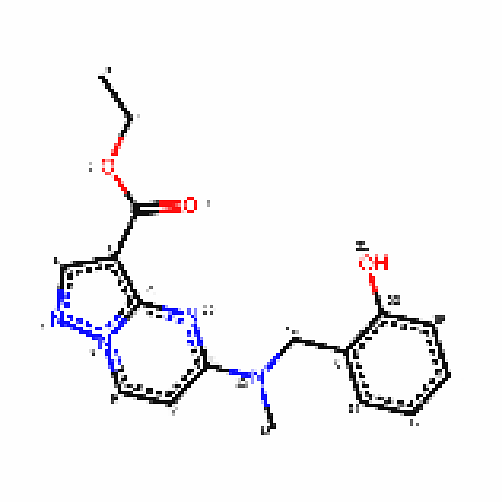 CCOC(=O)c1cnn2ccc(N(C)Cc3ccccc3O)nc12